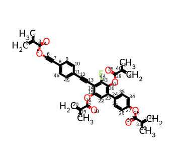 C=C(C)C(=O)OC#Cc1ccc(C#Cc2c(OC(=O)C(=C)C)cc(-c3ccc(OC(=O)C(=C)C)cc3)c(OC(=O)C(=C)C)c2F)cc1